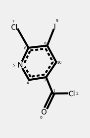 O=C(Cl)c1cnc(Cl)c(I)c1